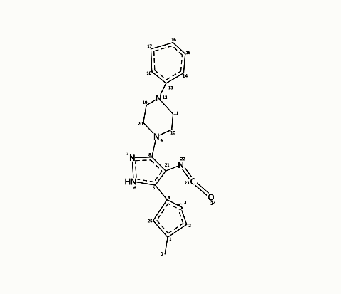 Cc1csc(-c2[nH]nc(N3CCN(c4ccccc4)CC3)c2N=C=O)c1